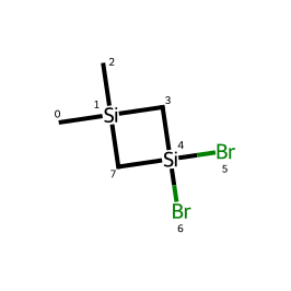 C[Si]1(C)C[Si](Br)(Br)C1